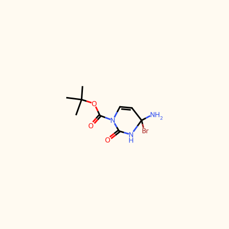 CC(C)(C)OC(=O)N1C=CC(N)(Br)NC1=O